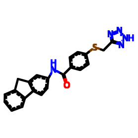 O=C(Nc1ccc2c(c1)Cc1ccccc1-2)c1ccc(SCc2nn[nH]n2)cc1